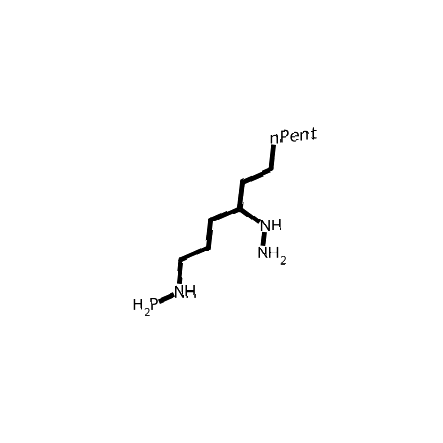 CCCCCCCC(CCCNP)NN